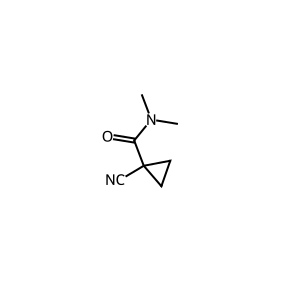 CN(C)C(=O)C1(C#N)CC1